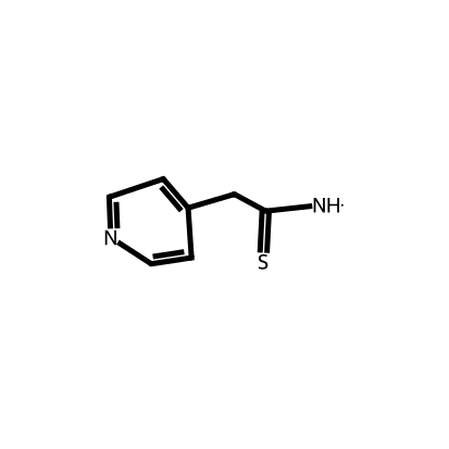 [NH]C(=S)Cc1ccncc1